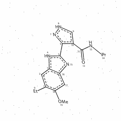 CCc1cc2[nH]c(-c3n[nH]cc3C(=O)NC(C)C)nc2cc1OC